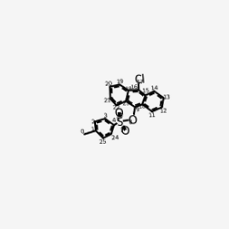 Cc1ccc(S(=O)(=O)Oc2c3ccccc3c(Cl)c3ccccc23)cc1